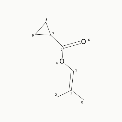 CC(C)=COC(=O)C1CC1